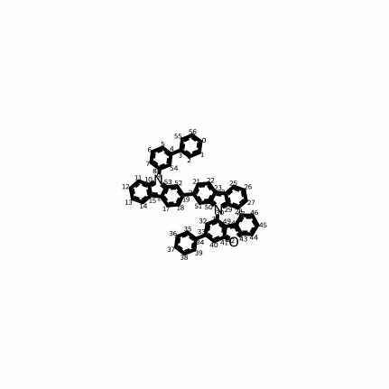 c1ccc(-c2cccc(-n3c4ccccc4c4ccc(-c5ccc6c7ccccc7n(-c7cc(-c8ccccc8)cc8oc9ccccc9c78)c6c5)cc43)c2)cc1